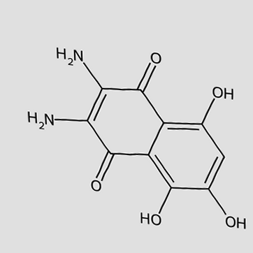 NC1=C(N)C(=O)c2c(O)c(O)cc(O)c2C1=O